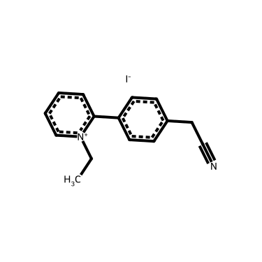 CC[n+]1ccccc1-c1ccc(CC#N)cc1.[I-]